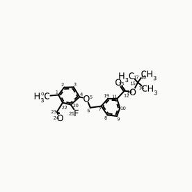 Cc1ccc(OCc2cccc(C(=O)OC(C)(C)C)c2)c(F)c1C=O